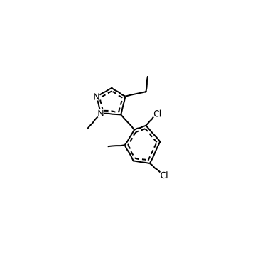 CCc1cnn(C)c1-c1c(C)cc(Cl)cc1Cl